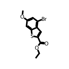 CCOC(=O)c1cc2c(Br)cc(OC)cc2s1